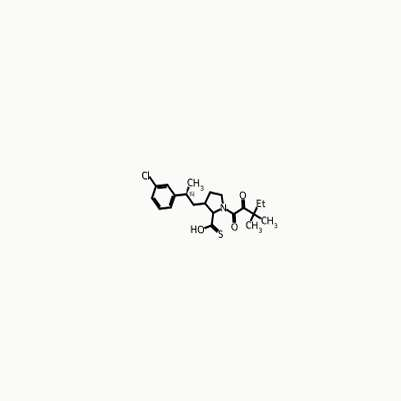 CCC(C)(C)C(=O)C(=O)N1CCC(C[C@H](C)c2cccc(Cl)c2)C1C(O)=S